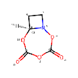 O=C1OC(=O)ON2CC[C@@H]2O1